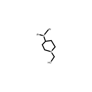 CC(C)N(C(C)C)C1CCN(CO)CC1